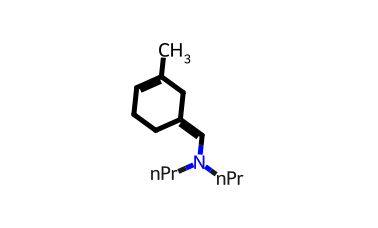 CCCN(C=C1CCC=C(C)C1)CCC